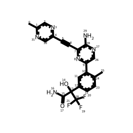 Cc1cnc(C#Cc2nc(-c3cc(C(O)(C(N)=O)C(F)(F)F)ccc3C)cnc2N)cn1